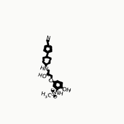 CS(=O)(=O)Nc1cc(OC[C@@H](O)CNC2CCC(c3ccc(C#N)cc3)CC2)ccc1O